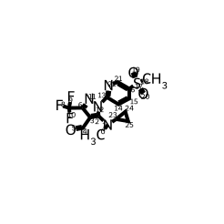 CN(c1c(C=O)c(C(F)(F)F)nn1-c1ccc(S(C)(=O)=O)cn1)C1CC1